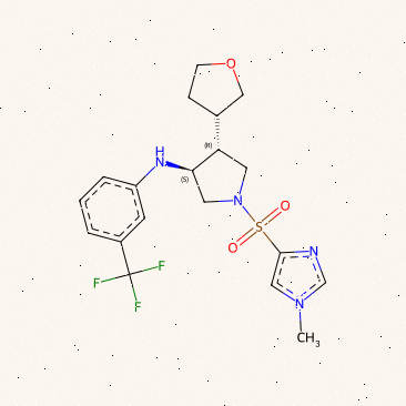 Cn1cnc(S(=O)(=O)N2C[C@@H](Nc3cccc(C(F)(F)F)c3)[C@H](C3CCOC3)C2)c1